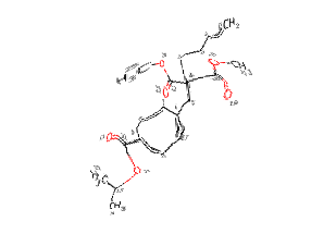 C=CCCC(Cc1ccc(C(=O)OC(C)C)cc1)(C(=O)OC)C(=O)OC